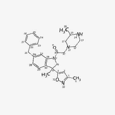 Cc1cc(C2(C)CN(C(=O)CN3CCNC(C)C3)c3cc(Cc4ccccc4)ccc32)on1